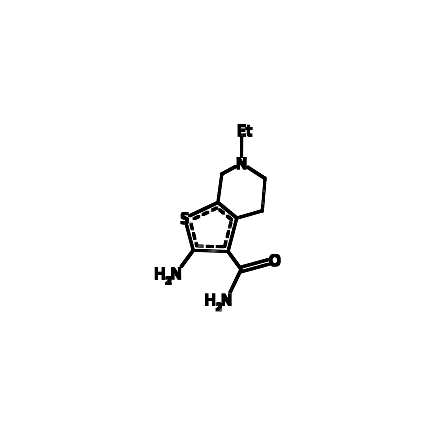 CCN1CCc2c(sc(N)c2C(N)=O)C1